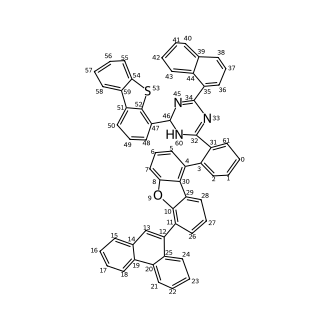 c1ccc(-c2cccc3oc4c(-c5cc6ccccc6c6ccccc56)cccc4c23)c(C2=NC(c3cccc4ccccc34)=NC(c3cccc4c3sc3ccccc34)N2)c1